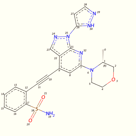 C[C@@H]1COCCN1c1cc(C#Cc2ccccc2S(N)(=O)=O)c2cnn(-c3ccn[nH]3)c2n1